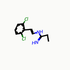 CCC(=N)NC=Cc1c(Cl)cccc1Cl